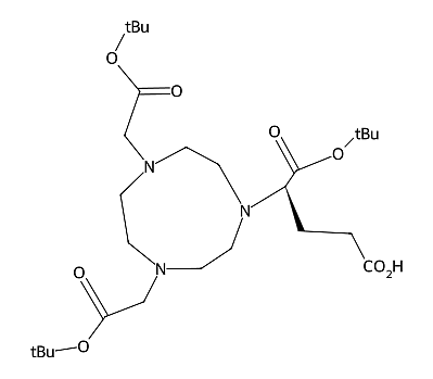 CC(C)(C)OC(=O)CN1CCN(CC(=O)OC(C)(C)C)CCN([C@H](CCC(=O)O)C(=O)OC(C)(C)C)CC1